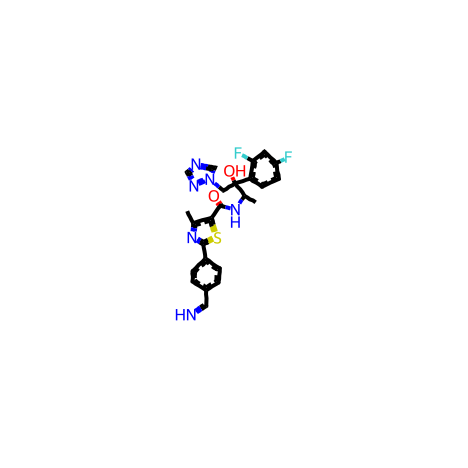 Cc1nc(-c2ccc(C=N)cc2)sc1C(=O)NC(C)C(O)(Cn1cncn1)c1ccc(F)cc1F